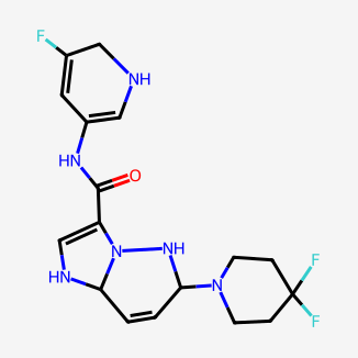 O=C(NC1=CNCC(F)=C1)C1=CNC2C=CC(N3CCC(F)(F)CC3)NN12